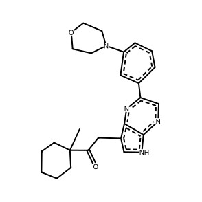 CC1(C(=O)Cc2c[nH]c3ncc(-c4cccc(N5CCOCC5)c4)nc23)CCCCC1